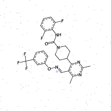 Cc1nc(C)c(/C=N/Oc2cccc(C(F)(F)F)c2)c(C2CCN(C(=O)Nc3c(F)cccc3F)CC2)n1